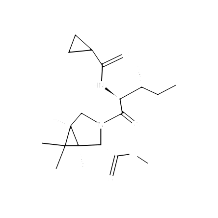 CC[C@@H](C)[C@H](NC(=O)C1CC1)C(=O)N1C[C@H]2[C@@H]([C@H]1C(=O)OC)C2(C)C